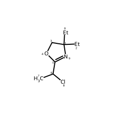 CCC1(CC)COC(C(C)Cl)=N1